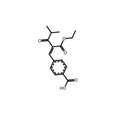 CCOC(=O)C(=Cc1ccc(C(=O)O)cc1)C(=O)C(C)C